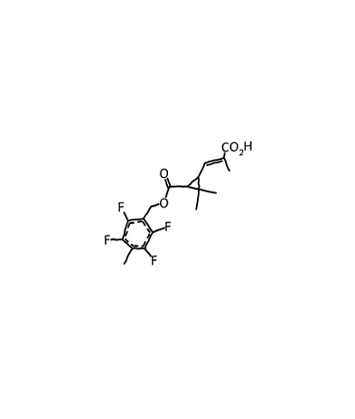 C/C(=C\C1C(C(=O)OCc2c(F)c(F)c(C)c(F)c2F)C1(C)C)C(=O)O